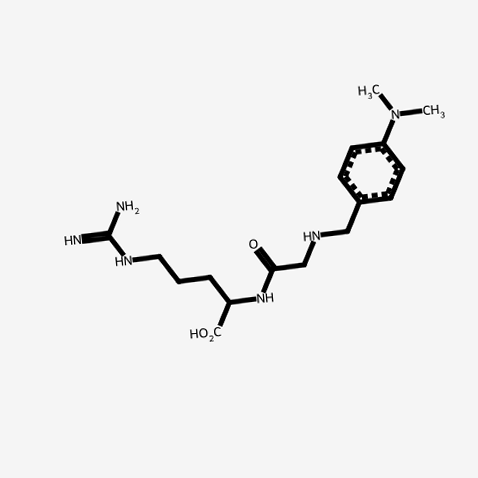 CN(C)c1ccc(CNCC(=O)NC(CCCNC(=N)N)C(=O)O)cc1